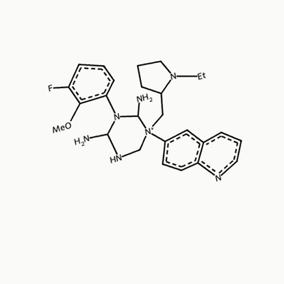 CCN1CCCC1C[N+]1(c2ccc3ncccc3c2)CNC(N)N(c2cccc(F)c2OC)C1N